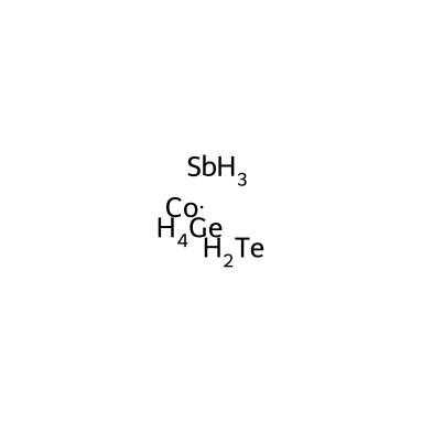 [Co].[GeH4].[SbH3].[TeH2]